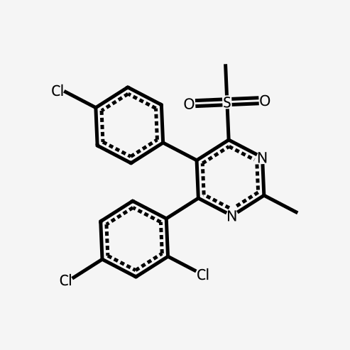 Cc1nc(-c2ccc(Cl)cc2Cl)c(-c2ccc(Cl)cc2)c(S(C)(=O)=O)n1